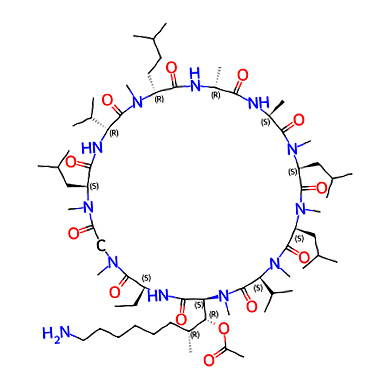 CC[C@@H]1NC(=O)[C@H]([C@H](OC(C)=O)[C@H](C)CCCCCCN)N(C)C(=O)[C@H](C(C)C)N(C)C(=O)[C@H](CC(C)C)N(C)C(=O)[C@H](CC(C)C)N(C)C(=O)[C@H](C)NC(=O)[C@@H](C)NC(=O)[C@@H](CCC(C)C)N(C)C(=O)[C@@H](C(C)C)NC(=O)[C@H](CC(C)C)N(C)C(=O)CN(C)C1=O